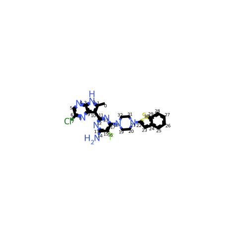 Cc1[nH]c2ncc(Cl)nc2c1-c1nc(N)c(F)c(N2CCN(c3cc4ccccc4s3)CC2)n1